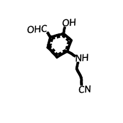 N#CCCNc1ccc(C=O)c(O)c1